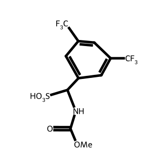 COC(=O)NC(c1cc(C(F)(F)F)cc(C(F)(F)F)c1)S(=O)(=O)O